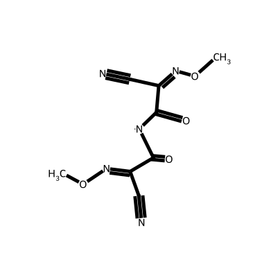 CON=C(C#N)C(=O)[N]C(=O)C(C#N)=NOC